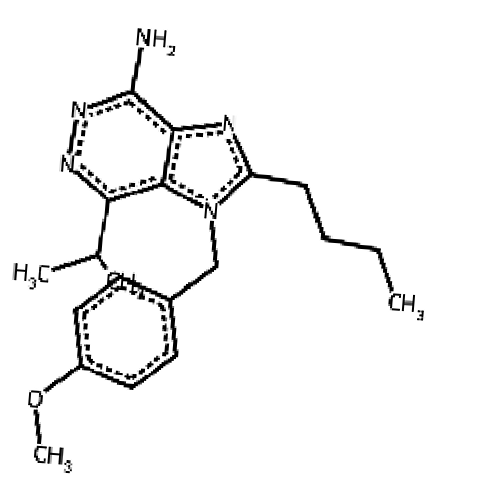 CCCCc1nc2c(N)nnc(C(C)C)c2n1Cc1ccc(OC)cc1